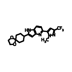 Cn1nc(C(F)(F)F)cc1-c1ccc2[nH]c(C3CCC4(CC3)OCCO4)cc2n1